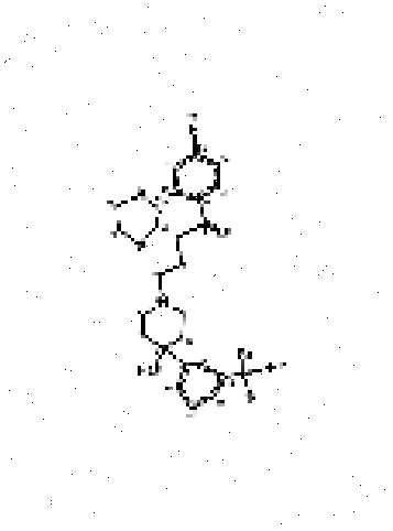 O=C(CCCN1CCC(O)(c2cccc(C(F)(F)F)c2)CC1)c1ccc(F)cc1N1CCCCC1